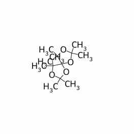 CC1(C)OC(C)(C)C2(O1)OC(C)(C)OC2(C)C